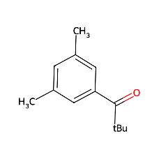 Cc1cc(C)cc(C(=O)C(C)(C)C)c1